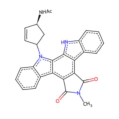 CC(=O)N[C@@H]1C=CC(n2c3ccccc3c3c4c(c5c6ccccc6[nH]c5c32)C(=O)N(C)C4=O)C1